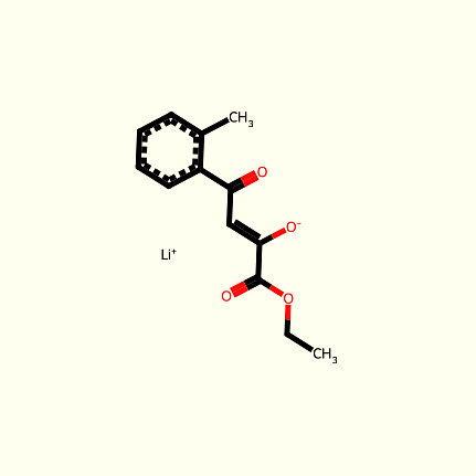 CCOC(=O)/C([O-])=C/C(=O)c1ccccc1C.[Li+]